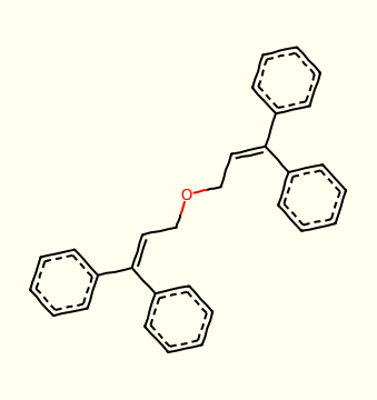 C(COCC=C(c1ccccc1)c1ccccc1)=C(c1ccccc1)c1ccccc1